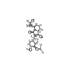 CCC(C)(c1ccc(OC)c(OC(C)C)c1)N1C(=O)c2cccc(NC(C)=O)c2C1=O